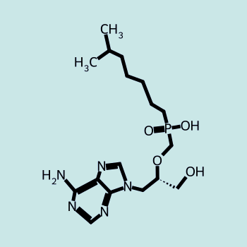 CC(C)CCCCCP(=O)(O)CO[C@H](CO)Cn1cnc2c(N)ncnc21